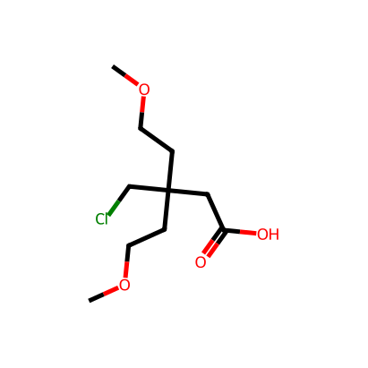 COCCC(CCl)(CCOC)CC(=O)O